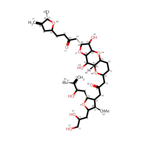 C=C(C(O)C[C@@H]1OC(CC(O)CO)[C@H](OC)C1CC(=O)CC1CCC2OC3C(O[C@H](CC(=O)CCC4CC(=C)[C@H](CC)O4)C3O)C(O)[C@H]2O1)[C@H](C)CC